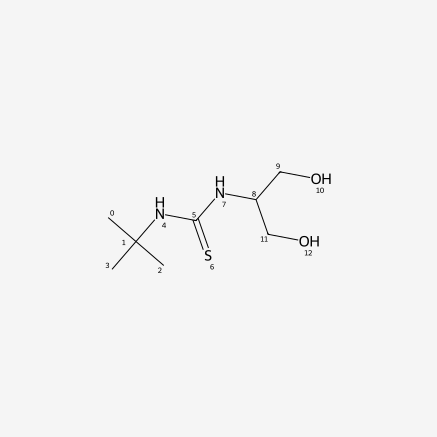 CC(C)(C)NC(=S)NC(CO)CO